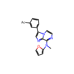 CC(=O)c1cccc(-c2cnc3c(N(C)c4ccco4)nccn23)c1